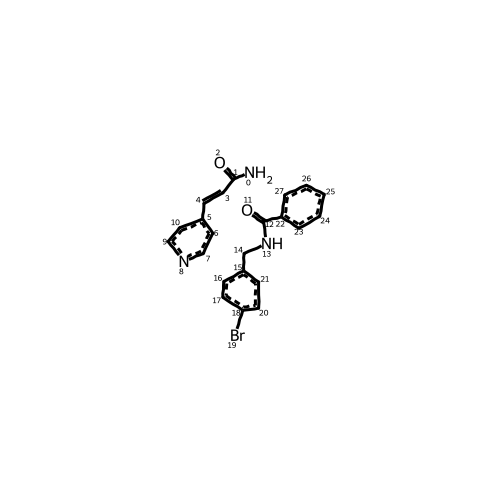 NC(=O)/C=C/c1ccncc1.O=C(NCc1ccc(Br)cc1)c1ccccc1